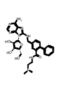 CN(C)CCNC(=O)c1cc(CNc2nc3c(N)ncnc3n2[C@@H]2O[C@H](CO)[C@@H](O)[C@H]2O)ccc1-c1ccccc1